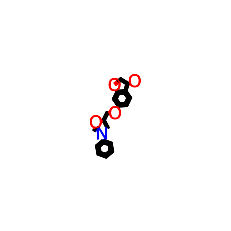 O=C1COc2cc(OCC3CN(c4ccccc4)CO3)ccc21